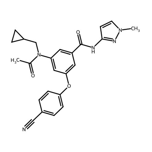 CC(=O)N(CC1CC1)c1cc(Oc2ccc(C#N)cc2)cc(C(=O)Nc2ccn(C)n2)c1